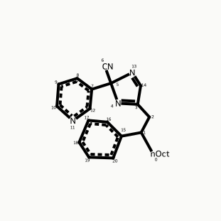 CCCCCCCCC(CC1=NC(C#N)(c2cccnc2)N=C1)c1ccccc1